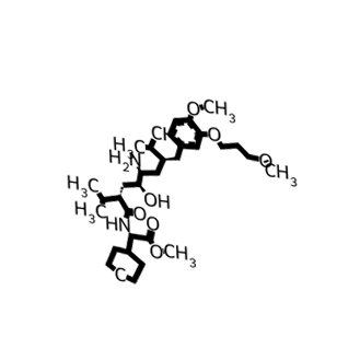 COCCCOc1cc(C[C@@H](C[C@H](N)[C@@H](O)C[C@H](C(=O)N[C@H](C(=O)OC)C2CCCCC2)C(C)C)C(C)C)ccc1OC